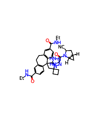 CCNC(=O)c1ccc2c(c1)CCc1cc(C(=O)NCC)ccc1C2(CC1(NCC(=O)N2C(C#N)C[C@@H]3C[C@@H]32)CCC1)c1nnn[nH]1